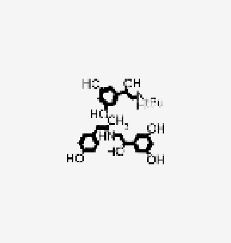 CC(C)(C)NCC(O)c1cc(O)cc(O)c1.CC(Cc1ccc(O)cc1)NCC(O)c1cc(O)cc(O)c1